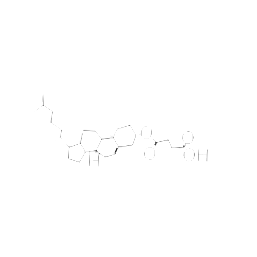 CC(C)CCC[C@@H](C)C1CCC2[C@@H]3CC=C4C[C@@H](OC(=O)CCC(=O)O)CC[C@]4(C)C3CC[C@@]21C